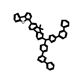 CC1(C)c2cc(-c3cccc4c3oc3ccccc34)ccc2-c2ccc(C(c3ccc(-c4cccc(-c5ccccc5)c4)cc3)c3ccc(-c4cccc(-c5ccccc5)c4)cc3)cc21